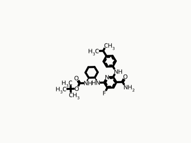 CC(C)c1ccc(Nc2nc(N[C@@H]3CCCC[C@@H]3NC(=O)OC(C)(C)C)c(F)cc2C(N)=O)cc1